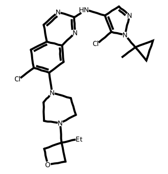 CCC1(N2CCN(c3cc4nc(Nc5cnn(C6(C)CC6)c5Cl)ncc4cc3Cl)CC2)COC1